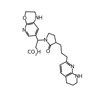 O=C(O)CC(c1cnc2c(c1)NCCO2)N1CCC(CCCc2ccc3c(n2)NCCC3)C1=O